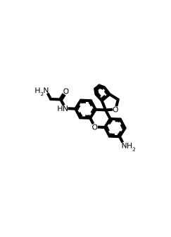 NCC(=O)Nc1ccc2c(c1)Oc1cc(N)ccc1C21OCc2ccccc21